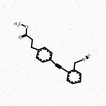 [C-]#[N+]Cc1ccccc1C#Cc1ccc(CCC(=O)OC)cc1